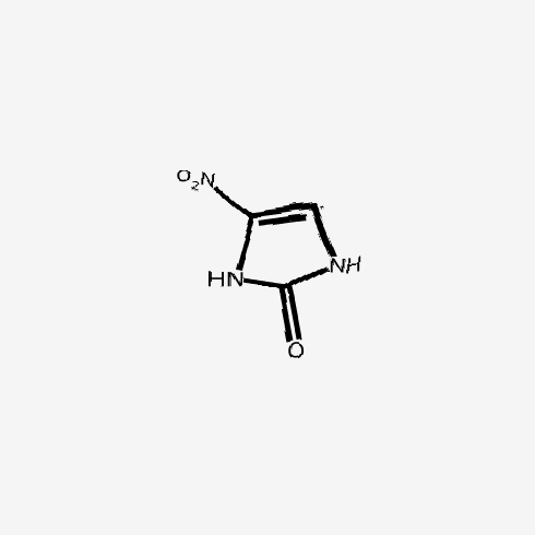 O=c1[nH][c]c([N+](=O)[O-])[nH]1